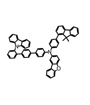 CC1(C)c2ccccc2-c2cccc(-c3ccc(N(c4ccc(-c5ccc(-c6ccccc6-n6c7ccccc7c7ccccc76)cc5)cc4)c4ccc5oc6ccccc6c5c4)cc3)c21